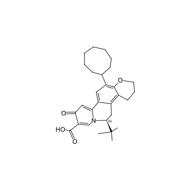 CC(C)(C)[C@@H]1Cc2c(cc(C3CCCCCCC3)c3c2CCCO3)-c2cc(=O)c(C(=O)O)cn21